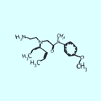 C/C=C\C(=C/C)N(CCN)CC(=O)N(C)c1ccc(OC)cc1